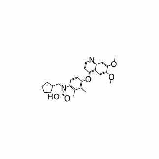 COc1cc2nccc(Oc3ccc(N(CC4CCCC4)C(=O)O)c(C)c3C)c2cc1OC